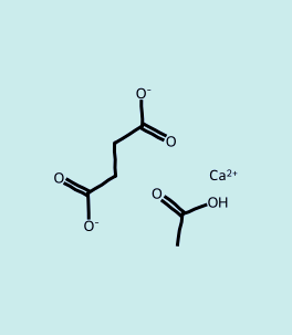 CC(=O)O.O=C([O-])CCC(=O)[O-].[Ca+2]